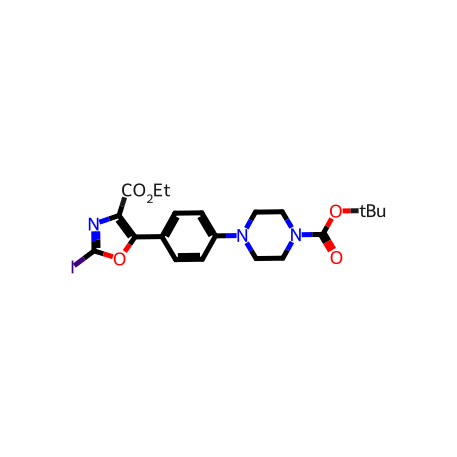 CCOC(=O)c1nc(I)oc1-c1ccc(N2CCN(C(=O)OC(C)(C)C)CC2)cc1